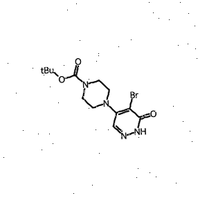 CC(C)(C)OC(=O)N1CCN(c2cn[nH]c(=O)c2Br)CC1